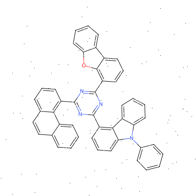 c1ccc(-n2c3ccccc3c3c(-c4nc(-c5cccc6c5oc5ccccc56)nc(-c5cccc6ccc7ccccc7c56)n4)cccc32)cc1